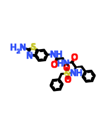 Nc1nc2ccc(NC(=O)CNC(=O)[C@@H](Cc3ccccc3)NS(=O)(=O)Cc3ccccc3)cc2s1